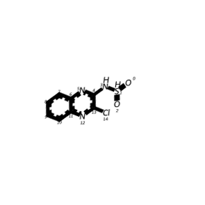 O=[SH](=O)Nc1nc2ccccc2nc1Cl